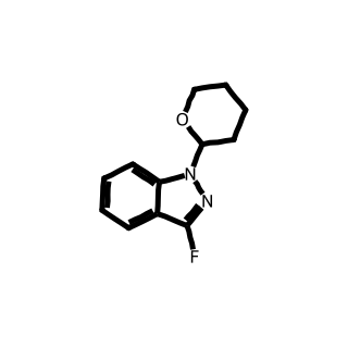 Fc1nn(C2CCCCO2)c2ccccc12